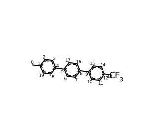 Cc1ccc(-c2ccc(-c3ccc(C(F)(F)F)cc3)cc2)cc1